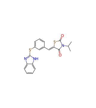 CC(C)N1C(=O)S/C(=C\c2cccc(Sc3nc4ccccc4[nH]3)c2)C1=O